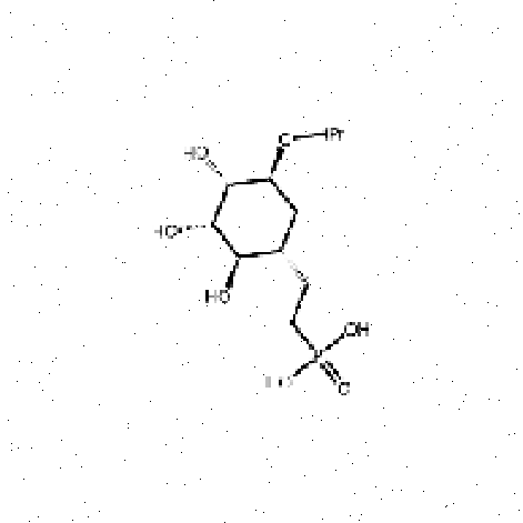 CC(C)O[C@H]1C[C@H](CCP(=O)(O)O)[C@@H](O)[C@H](O)[C@@H]1O